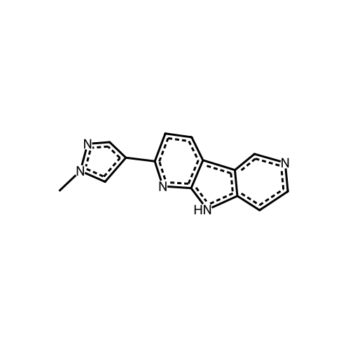 Cn1cc(-c2ccc3c(n2)[nH]c2ccncc23)cn1